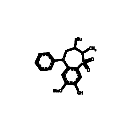 CCCCC1CN(c2ccccc2)c2cc(OC)c(O)cc2S(=O)(=O)N1C